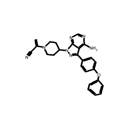 C=C(C#N)N1CCC(n2nc(-c3ccc(Oc4ccccc4)cc3)c3c(N)ncnc32)CC1